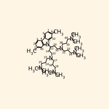 Cc1ccc2c3ccc(C)cc3n(C(CCN(CCCN(C)C)CCCN(C)C)CCN(CCCN(C)C)CCCN(C)C)c2c1